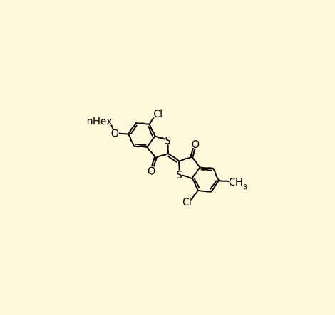 CCCCCCOc1cc(Cl)c2c(c1)C(=O)/C(=C1\Sc3c(Cl)cc(C)cc3C1=O)S2